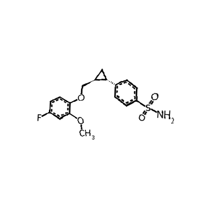 COc1cc(F)ccc1OC[C@H]1C[C@@H]1c1ccc(S(N)(=O)=O)cc1